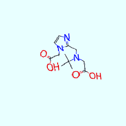 CC(C)(C)N(CC(=O)O)Cc1nccn1CC(=O)O